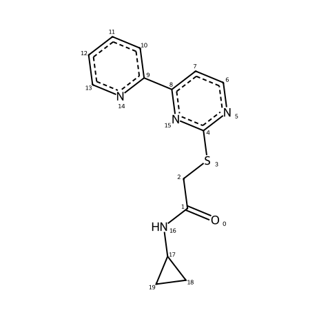 O=C(CSc1nccc(-c2ccccn2)n1)NC1CC1